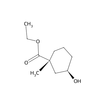 CCOC(=O)[C@]1(C)CCC[C@@H](O)C1